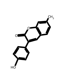 Cc1ccc2cc(-c3ccc(O)cc3)c(=O)oc2c1